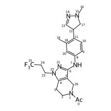 CC(=O)N1CCc2c(c(Nc3ccc(C4C=NN(C)C4)c(C)c3)nn2CCC(F)(F)F)C1